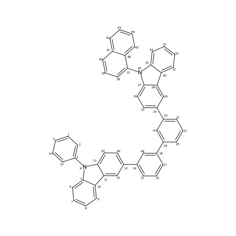 c1ccc(-n2c3ccccc3c3cc(-c4cccc(-c5cccc(-c6ccc7c(c6)c6ccccc6n7-c6cccc7ccccc67)c5)c4)ccc32)cc1